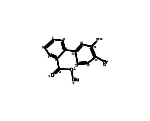 CC(C)(C)OC(=O)c1ccccc1-c1ccc(Br)c(F)c1